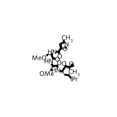 COC[C@H](NC(=O)c1cc(C)no1)C(=O)N[C@@H](COC)C(=O)N[C@@H](CCC(C)C)C(=O)[C@@]1(C)CO1